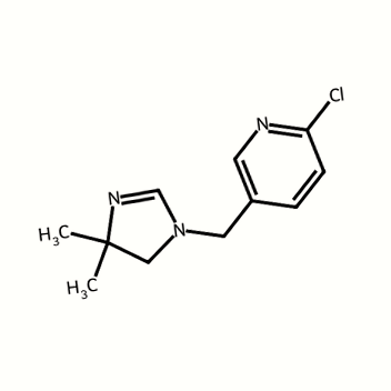 CC1(C)CN(Cc2ccc(Cl)nc2)C=N1